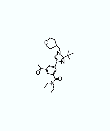 CCN(CC)C(=O)c1cc(C(C)=O)cc(-c2cn(CC3CCOCC3)c(C(C)(C)C)n2)c1